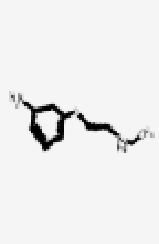 CNCCOc1cccc(N)c1